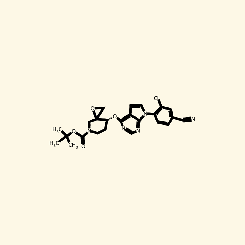 CC(C)(C)OC(=O)N1CC[C@@H](Oc2ncnc3c2ccn3-c2ccc(C#N)cc2Cl)C2(CO2)C1